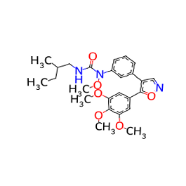 CCC(C)CNC(=O)N(OC)c1cccc(-c2cnoc2-c2cc(OC)c(OC)c(OC)c2)c1